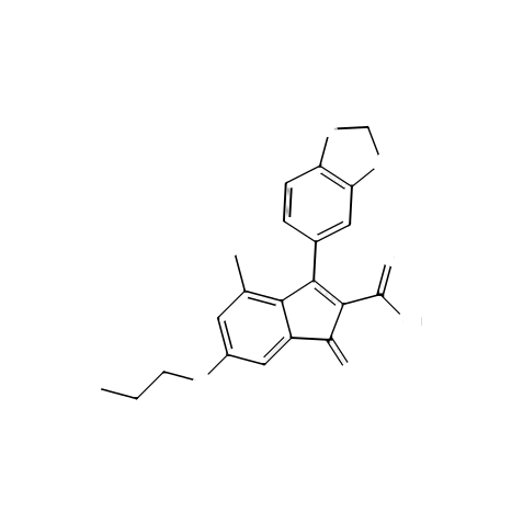 CCCOc1cc(C)c2c(c1)C(=O)C(C(=O)O)=C2c1ccc2c(c1)OCO2